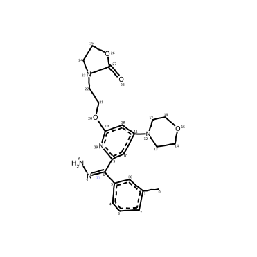 Cc1cccc(/C(=N/N)c2cc(N3CCOCC3)cc(OCCN3CCOC3=O)n2)c1